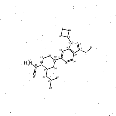 CCc1nn(C2CCC2)c2cc(N3CCN(C(N)=O)C(CC(C)C)C3)ccc12